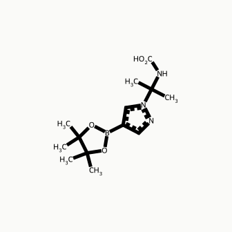 CC(C)(NC(=O)O)n1cc(B2OC(C)(C)C(C)(C)O2)cn1